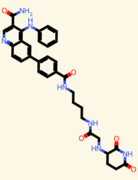 NC(=O)c1cnc2ccc(-c3ccc(C(=O)NCCCCNC(=O)CNC4CCC(=O)NC4=O)cc3)cc2c1Nc1ccccc1